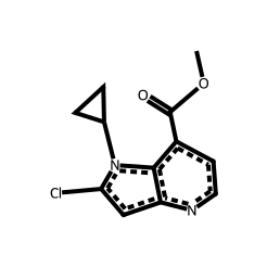 COC(=O)c1ccnc2cc(Cl)n(C3CC3)c12